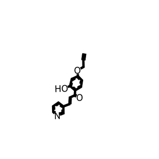 C#CCOc1ccc(C(=O)C=Cc2cccnc2)c(O)c1